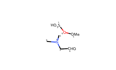 CN(C)CC=O.COOS(=O)(=O)O